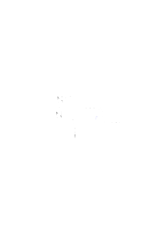 C/C=C/c1cn(C)nc1F